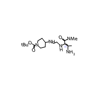 CNC(=O)/C(NCCNC1CCN(C(=O)OC(C)(C)C)CC1)=C(\C)N